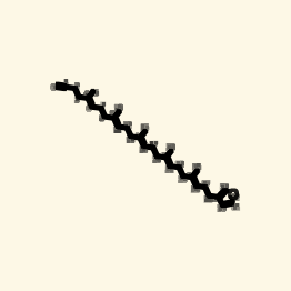 C#CCC/C(C)=C/CC/C(C)=C/CC/C(C)=C/CC/C(C)=C/CC/C(C)=C/CCc1ccoc1